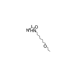 C=C(C#N)C(=O)NCCCCCCCOCCC